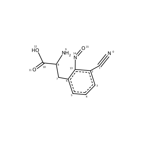 N#Cc1cccc(CC(N)C(=O)O)c1N=O